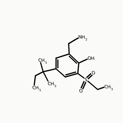 CCC(C)(C)c1cc(CN)c(O)c(S(=O)(=O)CC)c1